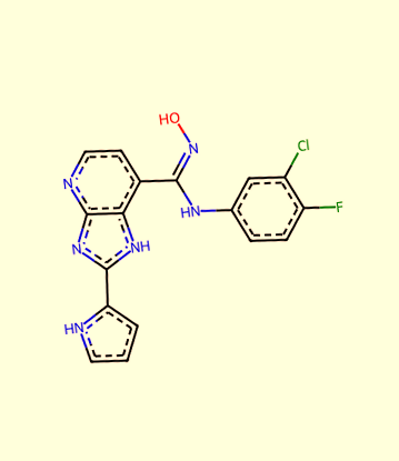 O/N=C(/Nc1ccc(F)c(Cl)c1)c1ccnc2nc(-c3ccc[nH]3)[nH]c12